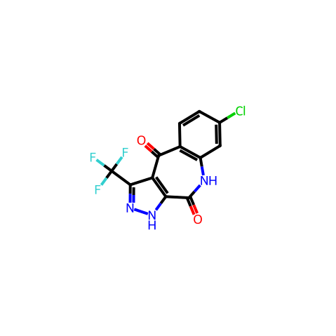 O=c1[nH]c2cc(Cl)ccc2c(=O)c2c(C(F)(F)F)n[nH]c12